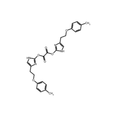 Cc1ccc(OCCc2c[nH]c(OC(=O)C(=O)Oc3nc(CCOc4ccc(C)cc4)c[nH]3)n2)cc1